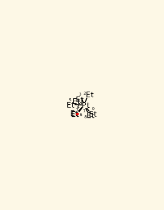 C[CH2][Pt]([CH2]C)([CH2]C)([CH2]C)([CH2]C)([CH2]C)([CH2]C)[CH2]C